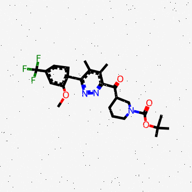 COc1cc(C(F)(F)F)ccc1-c1nnc(C(=O)C2CCCN(C(=O)OC(C)(C)C)C2)c(C)c1C